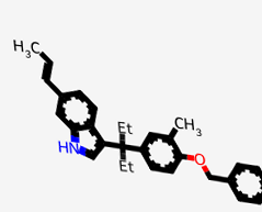 C/C=C/c1ccc2c(C(CC)(CC)c3ccc(OCc4ccccc4)c(C)c3)c[nH]c2c1